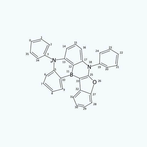 c1ccc(N2c3ccccc3B3c4c2cccc4N(c2ccccc2)c2oc4ccccc4c23)cc1